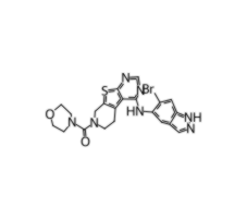 O=C(N1CCOCC1)N1CCc2c(sc3ncnc(Nc4cc5cn[nH]c5cc4Br)c23)C1